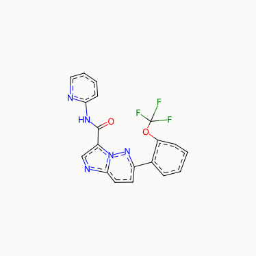 O=C(Nc1ccccn1)c1cnc2ccc(-c3ccccc3OC(F)(F)F)nn12